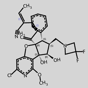 C=C(/C=C\C(C#N)=C/C)[C@@]12Oc3cc(Cl)nc(OC)c3[C@]1(O)[C@H](O)[C@H](CN1CC(F)(F)C1)[C@H]2c1ccccc1